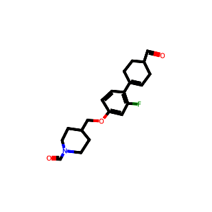 O=CC1CC=C(c2ccc(OCC3CCN(C=O)CC3)cc2F)CC1